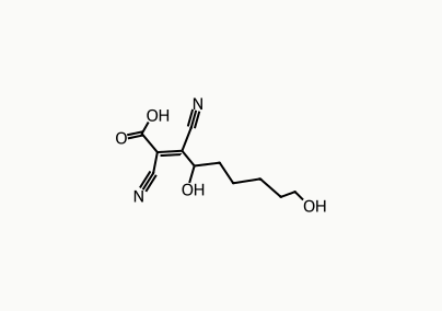 N#CC(C(=O)O)=C(C#N)C(O)CCCCCO